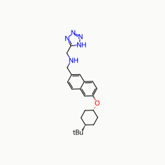 CC(C)(C)[C@H]1CC[C@H](Oc2ccc3cc(CNCc4nnn[nH]4)ccc3c2)CC1